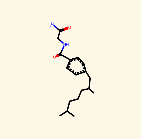 CC(C)CCCC(C)Cc1ccc(C(=O)NCC(N)=O)cc1